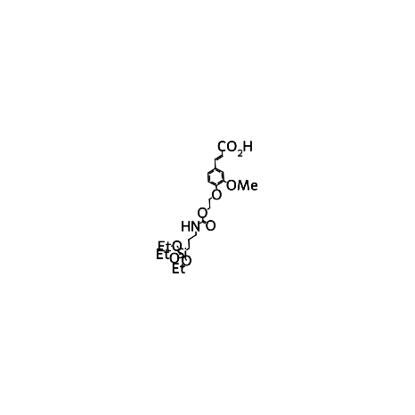 CCO[Si](CCCNC(=O)OCCOc1ccc(C=CC(=O)O)cc1OC)(OCC)OCC